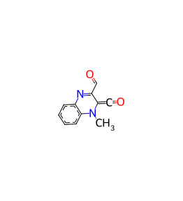 CN1C(=C=O)C(C=O)=Nc2ccccc21